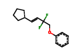 FC(F)(/C=C/C1CCCC1)COc1ccccc1